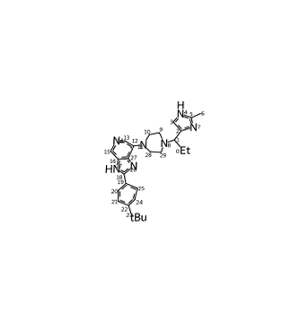 CCC(c1c[nH]c(C)n1)N1CCN(c2cncc3[nH]c(-c4ccc(C(C)(C)C)cc4)nc23)CC1